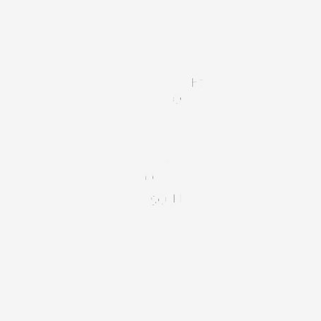 C=CCc1c(OCC)cccc1OS(=O)(=O)O